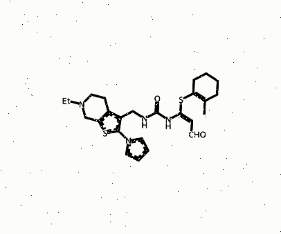 CCN1CCc2c(sc(-n3cccc3)c2CNC(=O)N/C(=C\C=O)SC2=C(C)CCCC2)C1